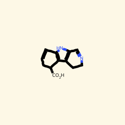 O=C(O)C1CC=Cc2[nH]c3c(c21)CCN=C3